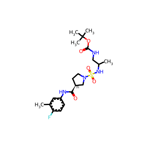 Cc1cc(NC(=O)[C@H]2CCN(S(=O)(=O)NC(C)CNC(=O)OC(C)(C)C)C2)ccc1F